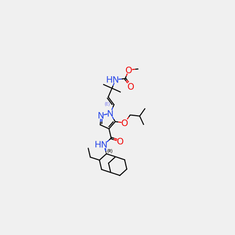 CCC1CC2CCCC(C2)[C@@H]1NC(=O)c1cnn(/C=C/C(C)(C)NC(=O)OC)c1OCC(C)C